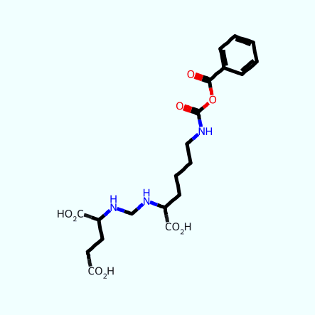 O=C(O)CCC(NCNC(CCCCNC(=O)OC(=O)c1ccccc1)C(=O)O)C(=O)O